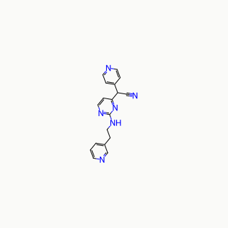 N#CC(c1ccncc1)c1ccnc(NCCc2cccnc2)n1